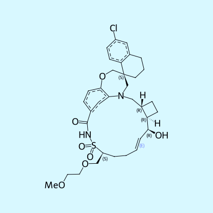 COCCOC[C@@H]1CC/C=C/[C@H](O)[C@@H]2CC[C@H]2CN2C[C@@]3(CCCc4cc(Cl)ccc43)COc3ccc(cc32)C(=O)NS1(=O)=O